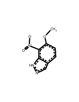 COc1ccc2cn[nH]c2c1[N+](=O)[O-]